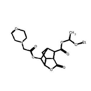 CCOC(C)OC(=O)C1C2CC3C(OC(=O)C31)C2OC(=O)CN1CCOCC1